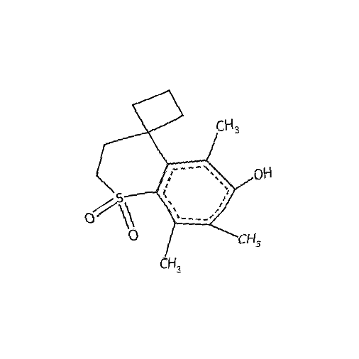 Cc1c(C)c2c(c(C)c1O)C1(CCC1)CCS2(=O)=O